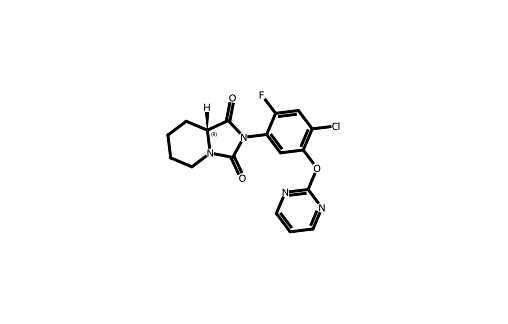 O=C1[C@H]2CCCCN2C(=O)N1c1cc(Oc2ncccn2)c(Cl)cc1F